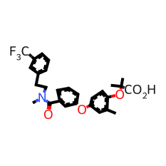 Cc1cc(Oc2cccc(C(=O)N(C)CCc3cccc(C(F)(F)F)c3)c2)ccc1OC(C)(C)C(=O)O